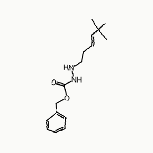 CC(C)(C)C=CCCNNC(=O)OCc1ccccc1